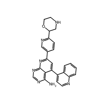 Nc1ncnc2nc(-c3ccc(C4CNCCO4)nc3)cc(-c3ccnc4ccccc34)c12